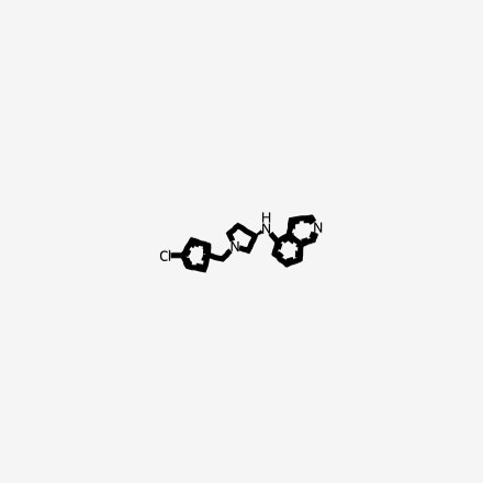 Clc1ccc(CN2CC[C@@H](Nc3cccc4cnccc34)C2)cc1